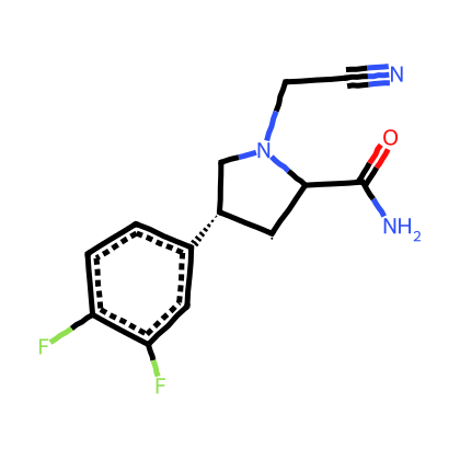 N#CCN1C[C@@H](c2ccc(F)c(F)c2)[CH]C1C(N)=O